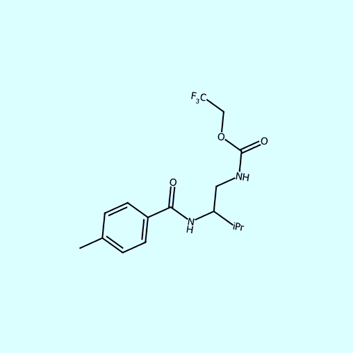 Cc1ccc(C(=O)NC(CNC(=O)OCC(F)(F)F)C(C)C)cc1